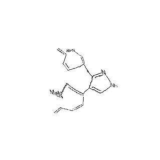 C=C/C=C\C(=C/NC)c1c[nH]nc1C(/C=C\C=C)=C/NC